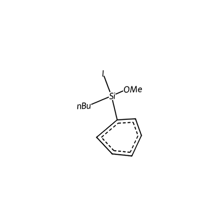 CCCC[Si](I)(OC)c1ccccc1